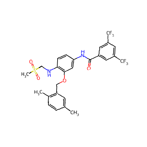 Cc1ccc(C)c(COc2cc(NC(=O)c3cc(C(F)(F)F)cc(C(F)(F)F)c3)ccc2NCS(C)(=O)=O)c1